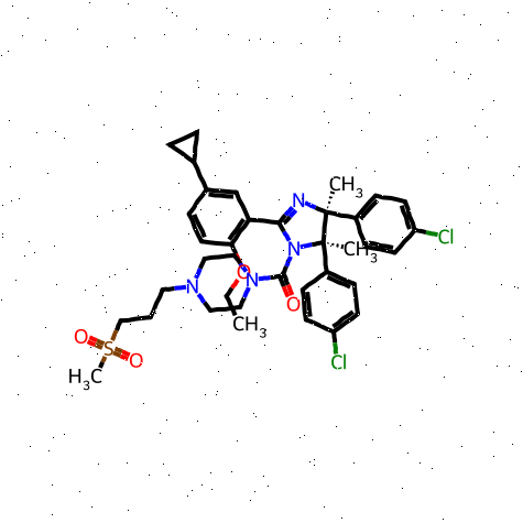 CCOc1ccc(C2CC2)cc1C1=N[C@@](C)(c2ccc(Cl)cc2)[C@@](C)(c2ccc(Cl)cc2)N1C(=O)N1CCN(CCCS(C)(=O)=O)CC1